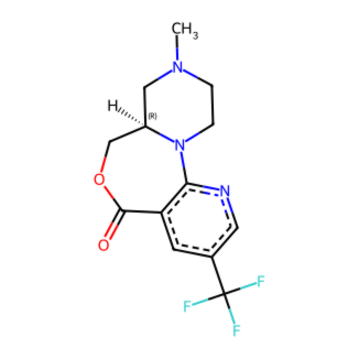 CN1CCN2c3ncc(C(F)(F)F)cc3C(=O)OC[C@H]2C1